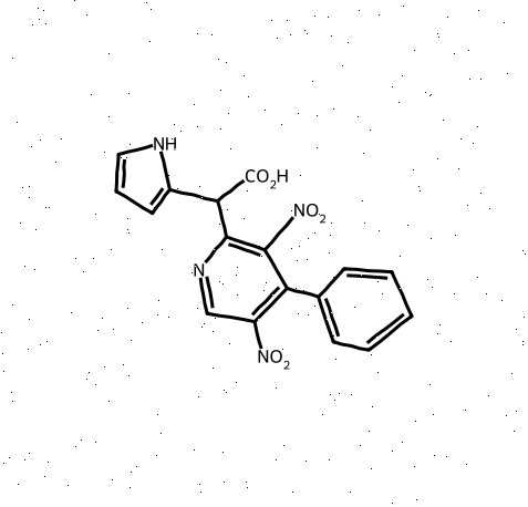 O=C(O)C(c1ccc[nH]1)c1ncc([N+](=O)[O-])c(-c2ccccc2)c1[N+](=O)[O-]